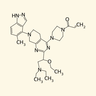 C=CC(=O)N1CCN(c2nc(C(CN(CC)CC)OCC)nc3c2CCN(c2c(C)ccc4[nH]ncc24)C3)CC1